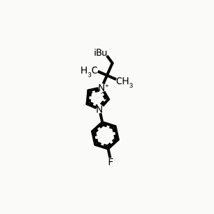 CCC(C)CC(C)(C)[n+]1ccn(-c2ccc(F)cc2)c1